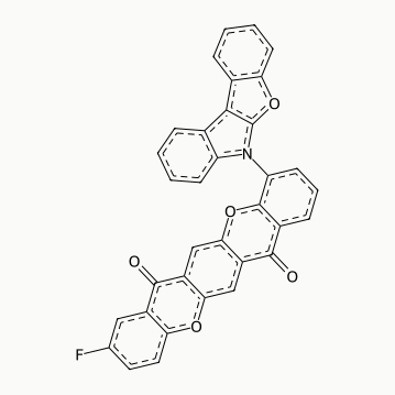 O=c1c2cc(F)ccc2oc2cc3c(=O)c4cccc(-n5c6ccccc6c6c7ccccc7oc65)c4oc3cc12